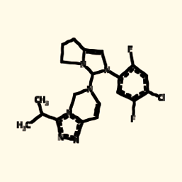 CC(C)c1nnc2n1CN(C1N3CCCC3=CN1c1cc(F)c(Cl)cc1F)C=C2